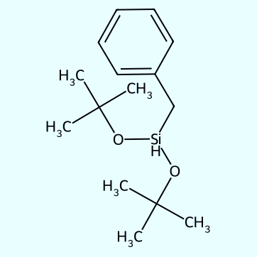 CC(C)(C)O[SiH](Cc1ccccc1)OC(C)(C)C